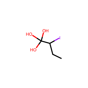 CCC(I)C(O)(O)O